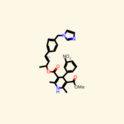 COC(=O)C1=C(C)NC(C)=C(C(=O)OC(C)/C=C/c2ccc(Cn3ccnc3)cc2)C1c1cccc([N+](=O)[O-])c1